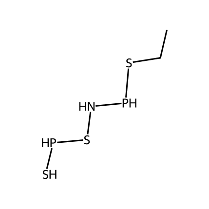 CCSPNSPS